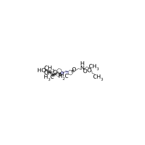 C=C1CC[C@H](OCCCNC(=O)CC(C)OCCCC)C/C1=C/C=C1\CCC[C@]2(C)[C@@H]([C@H](C)CCCC(C)(C)O)CC[C@@H]12